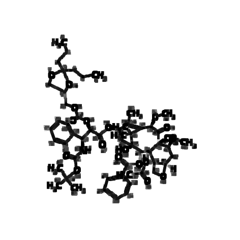 CCCC1(CCC)OCC(COC(=O)O[C@@H](C(=O)O[C@H]2C[C@@]3(O)[C@@H](OC(=O)c4ccccc4)[C@@H]4[C@]5(OC(C)=O)CO[C@@H]5C[C@H](OC)[C@@]4(C)C(=O)[C@H](OC)C(=C2C)C3(C)C)[C@@H](NC(=O)OC(C)(C)C)c2ccccc2)O1